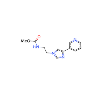 COC(=O)NCCn1cnc(-c2cccnc2)c1